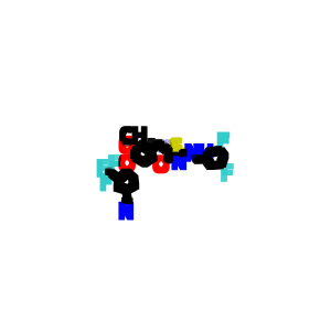 COc1cc(/C=C2/SC(NCc3cc(F)cc(F)c3)=NC2=O)ccc1Oc1ccc(C#N)cc1C(F)(F)F